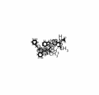 CCC[C@H](NC(=O)[C@@H]1CC2CCCCC2N1C(=O)[C@@H](NC(=O)[C@@H](NC(=O)OCc1ccccc1)C1CCCCC1)C(C)(C)C)C(O)C(=O)NC1CC1